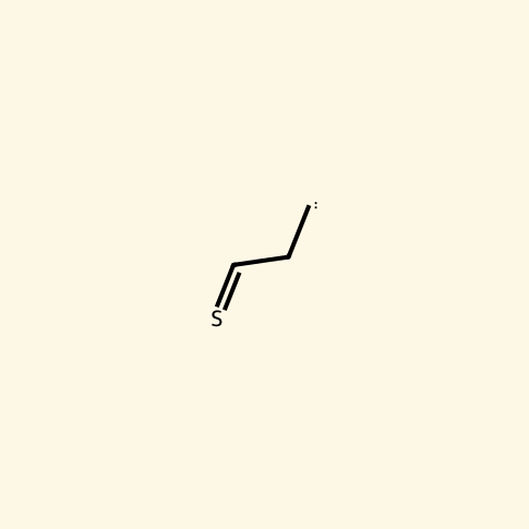 [CH]CC=S